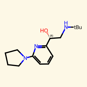 CC(C)(C)NC[C@@H](O)c1cccc(N2CCCC2)n1